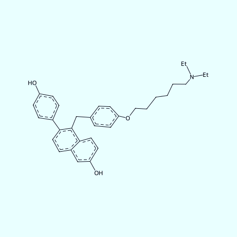 CCN(CC)CCCCCCOc1ccc(Cc2c(-c3ccc(O)cc3)ccc3cc(O)ccc23)cc1